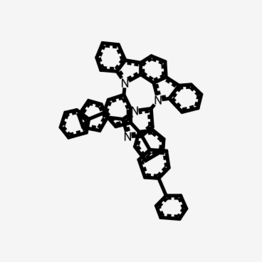 c1ccc(-c2ccc(-c3cc(-n4c5ccccc5c5ccc6c7ccccc7n(-c7cc(-c8ccccc8)cc(-c8ccccc8)c7)c6c54)nc(-c4ccccc4)n3)cc2)cc1